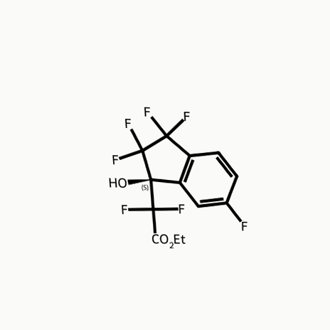 CCOC(=O)C(F)(F)[C@@]1(O)c2cc(F)ccc2C(F)(F)C1(F)F